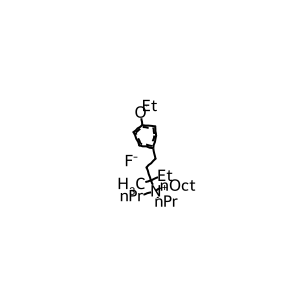 CCCCCCCC[N+](CCC)(CCC)C(C)(CC)CCc1ccc(OCC)cc1.[F-]